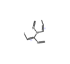 C=N/C(=C/I)N(/C=C\C)N=C